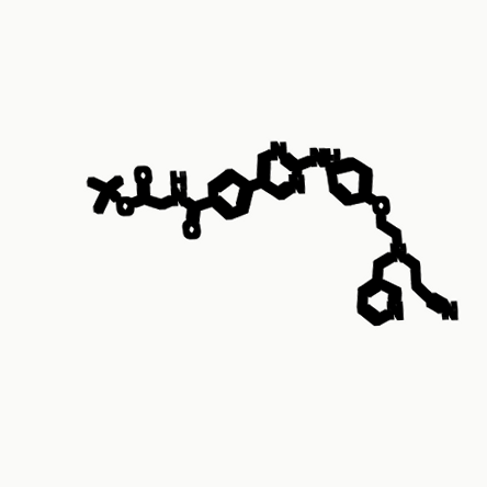 CC(C)(C)OC(=O)CNC(=O)c1ccc(-c2cnc(Nc3ccc(OCCN(CCC#N)Cc4cccnc4)cc3)nc2)cc1